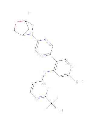 CC(=O)Nc1cc(Nc2ccnc(C(C)(F)F)n2)c(-c2cnc(N3C[C@H]4C[C@@H]3CO4)cn2)cn1